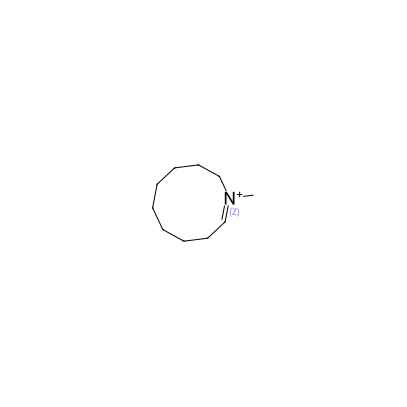 C/[N+]1=C/CCCCCCCC1